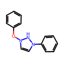 C1=CN(c2ccccc2)NN1Oc1ccccc1